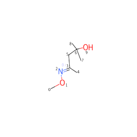 CO/N=C(\C)CC(C)(C)O